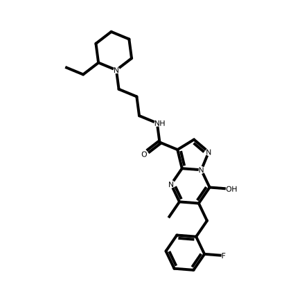 CCC1CCCCN1CCCNC(=O)c1cnn2c(O)c(Cc3ccccc3F)c(C)nc12